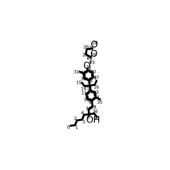 CCCCCC(O)(C=Cc1ccc(C(CC)(CC)c2ccc(OC[C@@H]3CCC(=O)O3)c(C)c2)cc1C)CC